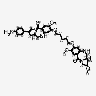 COc1cc2c(cc1OCCCCCOc1cc3c(cc1OC)C(=O)N1C[C@@H](OC)C[C@H]1CN3)NC[C@@H]1CC(c3ccc(N)cc3)=CN1C2=O